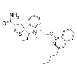 CCCCc1cc2ccccc2c(OCC[N+](C)(C)[C@@H](CC)[C@]2(c3ccccc3)CC(C(N)=O)=CS2)n1